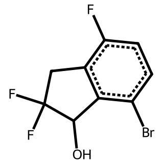 OC1c2c(Br)ccc(F)c2CC1(F)F